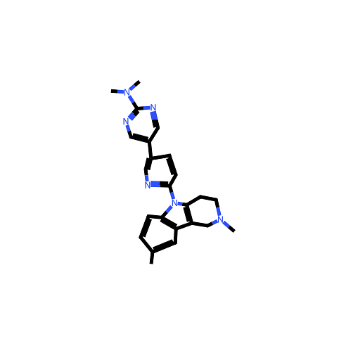 Cc1ccc2c(c1)c1c(n2-c2ccc(-c3cnc(N(C)C)nc3)cn2)CCN(C)C1